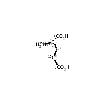 [15NH2][13C@@H]([13CH2][13CH2][13C](=O)O)[13C](=O)O